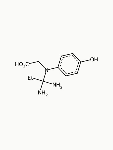 CCC(N)(N)N(CC(=O)O)c1ccc(O)cc1